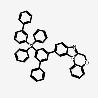 c1ccc(-c2cccc([Si](c3ccccc3)(c3ccccc3)c3cc(-c4ccccc4)cc(-c4ccc5nc6n(c5c4)-c4ccccc4OC6)c3)c2)cc1